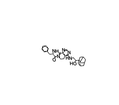 NC(Cc1ccccc1)C(=O)N1CCc2c(ncnc2NCC(O)C23CC4CC(CC(C4)C2)C3)C1